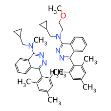 COCCN(CC1CC1)c1nnc(-c2c(C)cc(C)cc2C)c2ccccc12.Cc1cc(C)c(-c2nnc(N(C)CC3CC3)c3ccccc23)c(C)c1